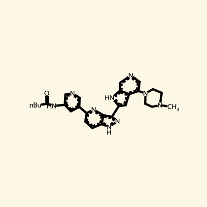 CCCCC(=O)Nc1cncc(-c2ccc3[nH]nc(-c4cc5c(N6CCN(C)CC6)cncc5[nH]4)c3n2)c1